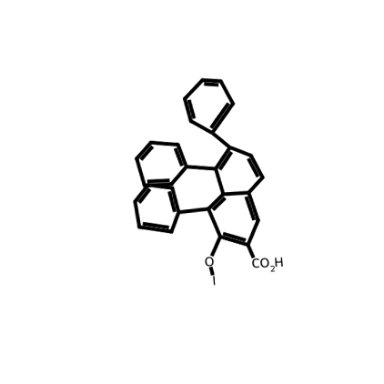 O=C(O)c1cc2ccc(-c3ccccc3)c(-c3ccccc3)c2c(-c2ccccc2)c1OI